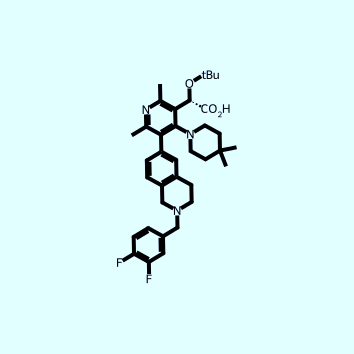 Cc1nc(C)c([C@H](OC(C)(C)C)C(=O)O)c(N2CCC(C)(C)CC2)c1-c1ccc2c(c1)CCN(Cc1ccc(F)c(F)c1)C2